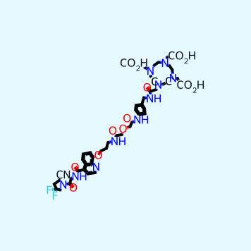 N#C[C@@H]1CC(F)(F)CN1C(=O)CNC(=O)c1ccnc2c(OCCCNC(=O)COCC(=O)Nc3ccc(CNC(=O)CN4CCN(CC(=O)O)CCN(CC(=O)O)CCN(CC(=O)O)CC4)cc3)cccc12